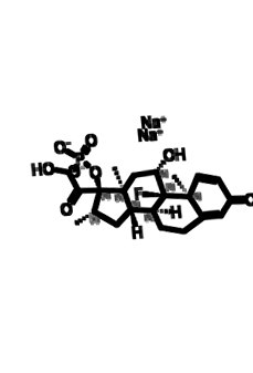 C[C@H]1C[C@H]2[C@@H]3CCC4=CC(=O)C=C[C@]4(C)[C@@]3(F)[C@@H](O)C[C@]2(C)[C@@]1(OP(=O)([O-])[O-])C(=O)CO.[Na+].[Na+]